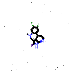 CN1Cc2c(I)[nH]c3nccc(c23)-c2cc(F)c(F)cc21